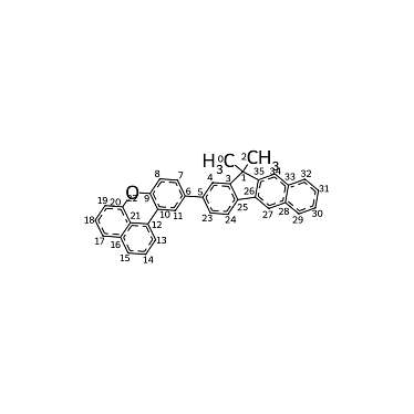 CC1(C)c2cc(-c3ccc4c(c3)-c3cccc5cccc(c35)O4)ccc2-c2cc3ccccc3cc21